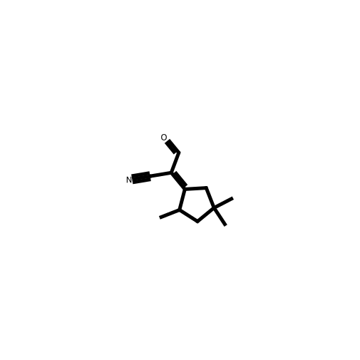 CC1CC(C)(C)C/C1=C(/C#N)C=O